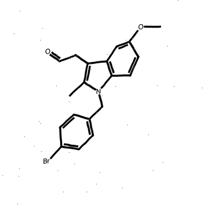 COc1ccc2c(c1)c(CC=O)c(C)n2Cc1ccc(Br)cc1